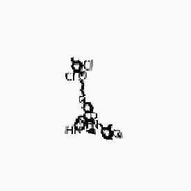 COc1cccc(CN(C(=O)C2=C(c3cccc(OCCCCOc4c(Cl)cc(C)cc4Cl)c3)CC3CNC[C@H]2N3)C2CC2)c1C